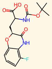 CC(C)(C)OC(=O)NC(C[C@@H]1Oc2cccc(F)c2NC1=O)C(=O)O